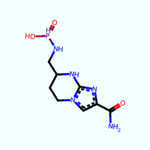 NC(=O)c1cn2c(n1)NC(CN[PH](=O)O)CC2